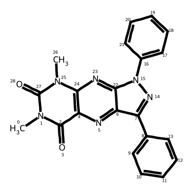 Cn1c(=O)c2nc3c(-c4ccccc4)nn(-c4ccccc4)c3nc2n(C)c1=O